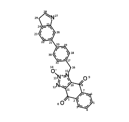 O=C1c2ccccc2C(=O)c2c1n[n+]([O-])n2Cc1ccc(-c2ccc3c(c2)N=CC3)cc1